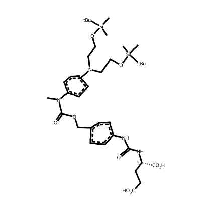 CN(C(=O)OCc1ccc(NC(=O)N[C@@H](CCC(=O)O)C(=O)O)cc1)c1ccc(N(CCO[Si](C)(C)C(C)(C)C)CCO[Si](C)(C)C(C)(C)C)cc1